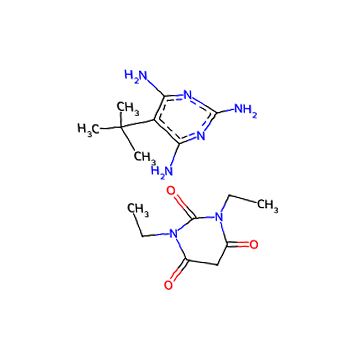 CC(C)(C)c1c(N)nc(N)nc1N.CCN1C(=O)CC(=O)N(CC)C1=O